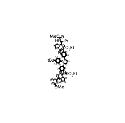 CCOC(=O)n1c([C@@H]2CCCN2C(=O)[C@@H](NC(=O)OC)C(C)C)nc2cc([C@H]3CC[C@H](c4ccc5nc([C@@H]6CCCN6C(=O)[C@@H](NC(=O)OC)C(C)C)n(C(=O)OCC)c5c4)N3c3ccc(C(C)(C)C)cc3)ccc21